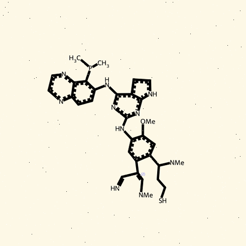 CN/C=C(\C=N)c1cc(Nc2nc(Nc3ccc4nccnc4c3P(C)C)c3cc[nH]c3n2)c(OC)cc1C(CCS)NC